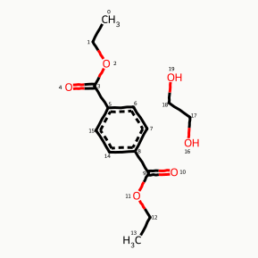 CCOC(=O)c1ccc(C(=O)OCC)cc1.OCCO